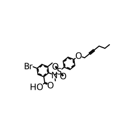 CCCC#CCOc1ccc(S(=O)(=O)N(C)c2c(C)cc(Br)cc2C(=O)O)cc1